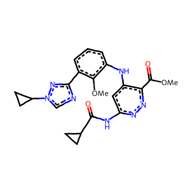 COC(=O)c1nnc(NC(=O)C2CC2)cc1Nc1cccc(-c2ncn(C3CC3)n2)c1OC